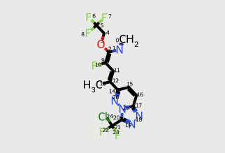 C=N/C(OCC(F)(F)F)=C(F)\C=C(/C)c1ccc2nnc(C(F)(F)Cl)n2n1